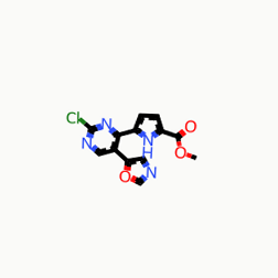 COC(=O)c1ccc(-c2nc(Cl)ncc2-c2cnco2)[nH]1